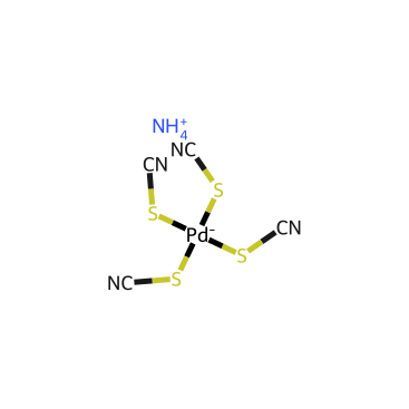 N#C[S][Pd-]([S]C#N)([S]C#N)[S]C#N.[NH4+]